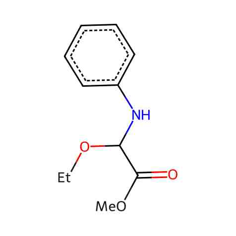 CCOC(Nc1ccccc1)C(=O)OC